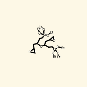 CCO[Si](CCC(CC1CO1)OC(CC[Si](OCC)(OCC)OCC)CC1CO1)(OCC)OCC